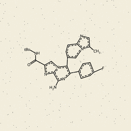 Cc1cnc2ccc(-c3c(-c4ccc(F)cc4)nc(N)c4nc(C(=O)NC(C)(C)C)cn34)cn12